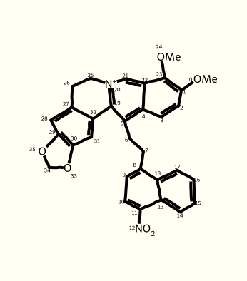 COc1ccc2c(CCc3ccc([N+](=O)[O-])c4ccccc34)c3[n+](cc2c1OC)CCc1cc2c(cc1-3)OCO2